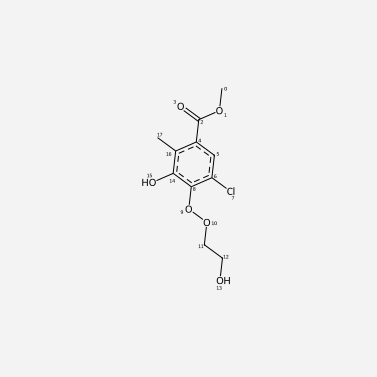 COC(=O)c1cc(Cl)c(OOCCO)c(O)c1C